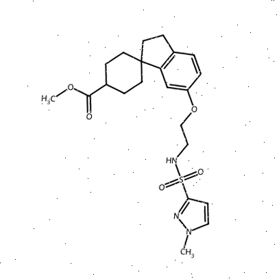 COC(=O)C1CCC2(CCc3ccc(OCCNS(=O)(=O)c4ccn(C)n4)cc32)CC1